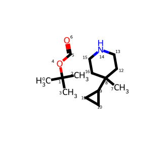 CC(C)(C)OC=O.CC1(C2CC2)CCNCC1